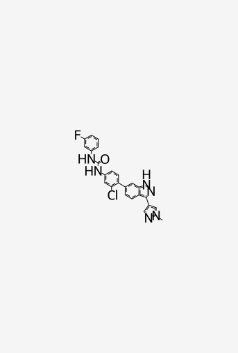 Cn1cc(-c2n[nH]c3cc(-c4ccc(NC(=O)Nc5cccc(F)c5)cc4Cl)ccc23)cn1